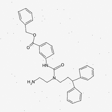 NCCN(CCC(c1ccccc1)c1ccccc1)C(=O)Nc1cccc(C(=O)OCc2ccccc2)c1